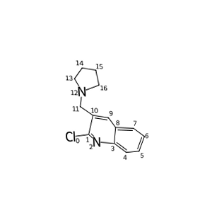 Clc1nc2ccccc2cc1CN1CCCC1